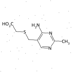 Cc1ncc(CSCC(=O)O)c(N)n1